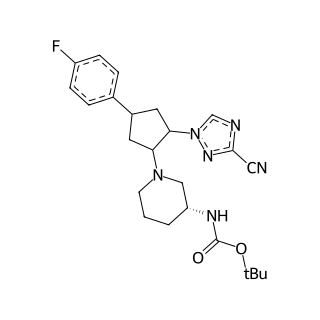 CC(C)(C)OC(=O)N[C@@H]1CCCN(C2CC(c3ccc(F)cc3)CC2n2cnc(C#N)n2)C1